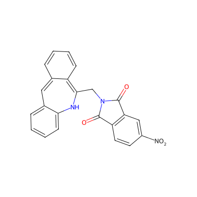 O=C1c2ccc([N+](=O)[O-])cc2C(=O)N1CC1=c2ccccc2=Cc2ccccc2N1